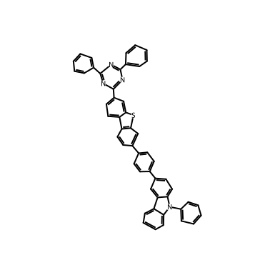 c1ccc(-c2nc(-c3ccccc3)nc(-c3ccc4c(c3)sc3cc(-c5ccc(-c6ccc7c(c6)c6ccccc6n7-c6ccccc6)cc5)ccc34)n2)cc1